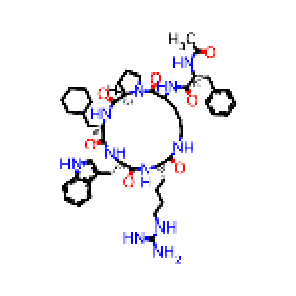 CC(=O)N[C@@H](Cc1ccccc1)C(=O)NC1CCCNC(=O)[C@H](CCCCNC(=N)N)NC(=O)[C@H](Cc2c[nH]c3ccccc23)NC(=O)[C@@H](CC2CCCCC2)NC(=O)[C@@H]2CCCN2C1=O